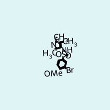 COc1ccc(S(=O)(=O)Nc2c(C)nn(C)c2C)cc1Br